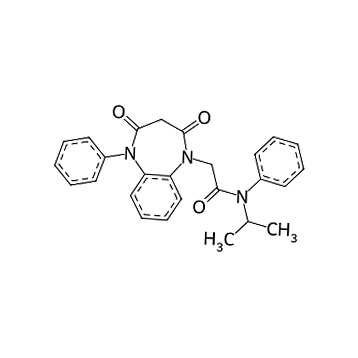 CC(C)N(C(=O)CN1C(=O)CC(=O)N(c2ccccc2)c2ccccc21)c1ccccc1